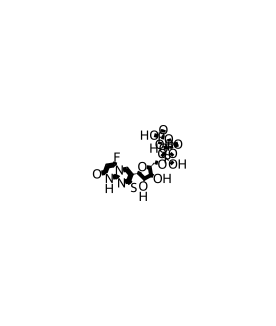 O=c1cc(F)n2cc([C@@H]3O[C@H](COP(=O)(O)OP(=O)(O)OP(=O)(O)O)C(O)[C@@H]3O)c(=S)nc2[nH]1